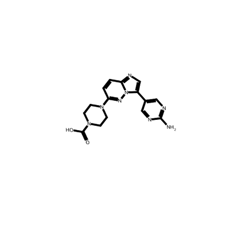 Nc1ncc(-c2cnc3ccc(N4CCN(C(=O)O)CC4)nn23)cn1